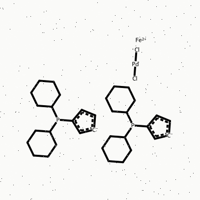 [Cl][Pd][Cl].[Fe+2].c1cc(P(C2CCCCC2)C2CCCCC2)c[cH-]1.c1cc(P(C2CCCCC2)C2CCCCC2)c[cH-]1